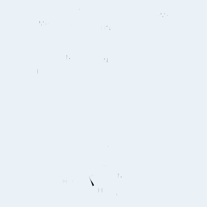 CCN(C)C(=O)[C@](C)(O)C#Cc1ccc(F)c(-c2cnc(NCCOC)c(C(=O)OC)n2)c1